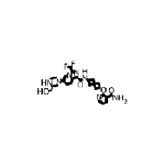 NC(=O)c1cccnc1OC1CC2(CC(NC(=O)c3nc(C(F)F)n4cc(N5CCN[C@H](CO)C5)ccc34)C2)C1